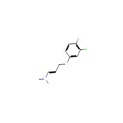 CN(C)C=CCNc1ccc(Cl)c(Cl)c1